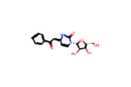 O=C(/C=C1\C=CN([C@@H]2O[C@H](CO)[C@@H](O)[C@H]2O)C(=O)N1)c1ccccc1